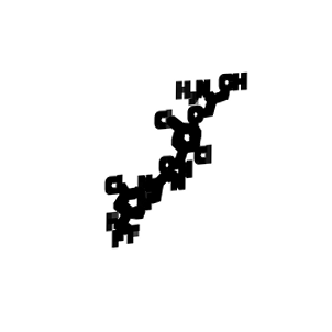 NC(CO)COc1cc(Cl)c(-c2nnc(-c3cn4cc(C(F)(F)F)cc(Cl)c4n3)o2)cc1Cl